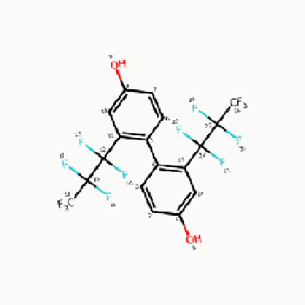 Oc1ccc(-c2ccc(O)cc2C(F)(F)C(F)(F)C(F)(F)F)c(C(F)(F)C(F)(F)C(F)(F)F)c1